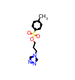 Cc1ccc(S(=O)(=O)OCCCn2cnnc2)cc1